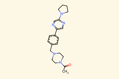 CC(=O)N1CCN(Cc2ccc(-c3cnc(N4CCCC4)cn3)cc2)CC1